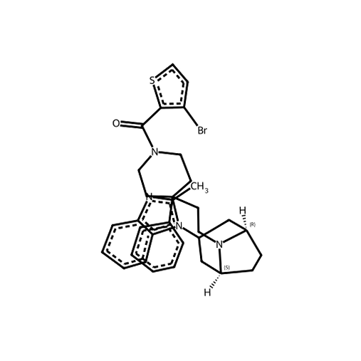 Cc1nc2ccccc2n1C1C[C@H]2CC[C@@H](C1)N2CCC1(c2ccccc2)CCN(C(=O)c2sccc2Br)CC1